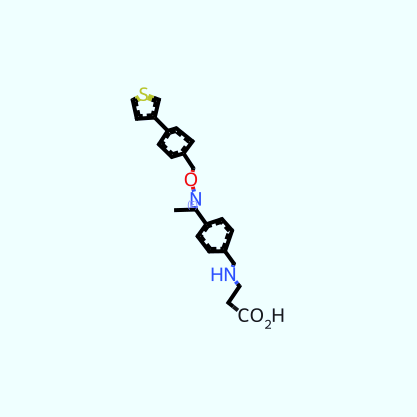 C/C(=N\OCc1ccc(-c2ccsc2)cc1)c1ccc(CNCCC(=O)O)cc1